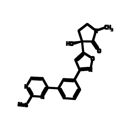 CSc1nccc(-c2cccc(-c3cc([C@]4(O)CCN(C)C4=O)on3)c2)n1